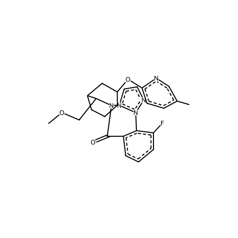 COCC1C2CCC(C(Oc3ccc(C)cn3)C2)N1C(=O)c1cccc(F)c1-n1nccn1